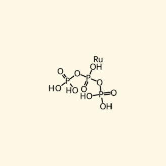 O=P(O)(O)OP(=O)(O)OP(=O)(O)O.[Ru]